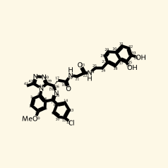 COc1ccc2c(c1)C(c1ccc(Cl)cc1)=N[C@@H](CC(=O)NCC(=O)NCCc1ccc3ccc(O)c(O)c3c1)c1nnc(C)n1-2